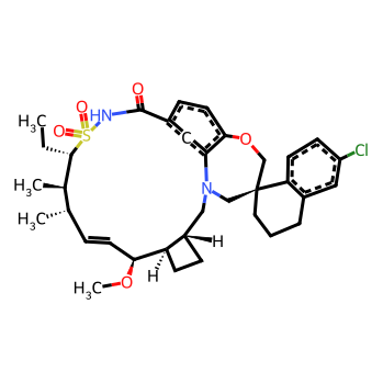 CC[C@H]1[C@H](C)[C@@H](C)/C=C/[C@H](OC)[C@@H]2CC[C@H]2CN2C[C@@]3(CCCc4cc(Cl)ccc43)COc3ccc(cc32)C(=O)NS1(=O)=O